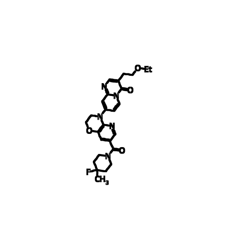 CCOCCc1cnc2cc(N3CCOc4cc(C(=O)N5CCC(C)(F)CC5)cnc43)ccn2c1=O